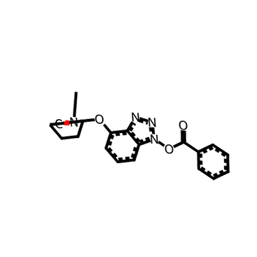 CN1CC2CCC1(Oc1cccc3c1nnn3OC(=O)c1ccccc1)CC2